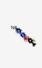 N#Cc1ccc(N2CCN(C(=O)Oc3ccc(C4CC4)c(F)c3)CC2)nn1